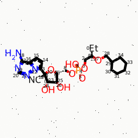 CC[C@H](COP(=O)(O)OC[C@H]1O[C@@](C#N)(c2ccc3c(N)ncnn23)[C@@H](O)C1O)OCC1CCCCC1